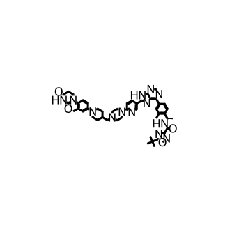 Cc1cc(-c2ncnc3[nH]c(-c4ccc(N5CCN(CC6CCN(c7ccc(N8CCC(=O)NC8=O)c(C)c7)CC6)CC5)nc4)nc23)ccc1[C@@H](C)NC(=O)c1noc(C(C)(C)C)n1